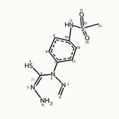 C=NN(/C(S)=N\N)c1ccc(NS(C)(=O)=O)cc1